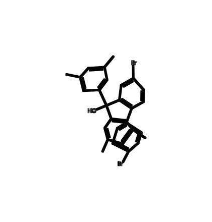 Cc1cc(C)cc(C(O)(c2cc(C)cc(C)c2)c2cc(Br)ccc2-c2ccc(Br)cc2)c1